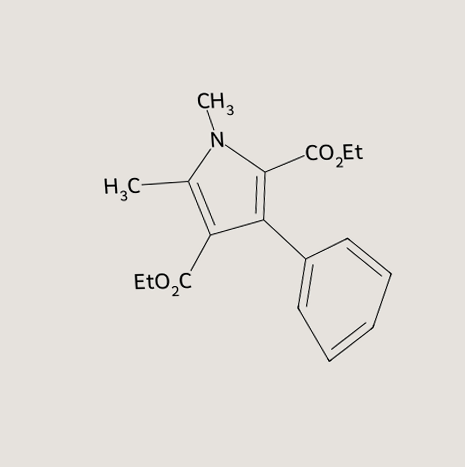 CCOC(=O)c1c(-c2ccccc2)c(C(=O)OCC)n(C)c1C